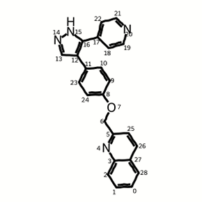 c1ccc2nc(COc3ccc(-c4cn[nH]c4-c4ccncc4)cc3)ccc2c1